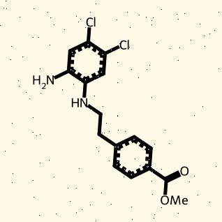 COC(=O)c1ccc(CCNc2cc(Cl)c(Cl)cc2N)cc1